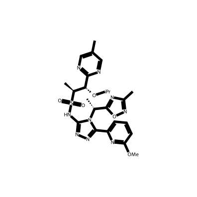 COc1cccc(-c2nnc(NS(=O)(=O)[C@@H](C)[C@@H](OC(C)C)c3ncc(C)cn3)n2[C@H](C)c2nc(C)no2)n1